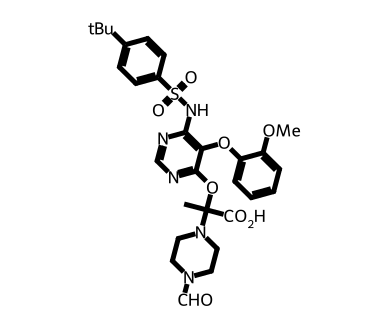 COc1ccccc1Oc1c(NS(=O)(=O)c2ccc(C(C)(C)C)cc2)ncnc1OC(C)(C(=O)O)N1CCN(C=O)CC1